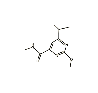 CNC(=O)c1cc(C(C)C)nc(OC)n1